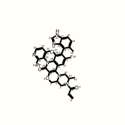 C=CC(=O)N1CC2COc3c(c4cc(F)c(-c5c(C)ccc6[nH]cnc56)c(Cl)c4n(-c4c(C)ccnc4C(C)C)c3=O)N2CC1C